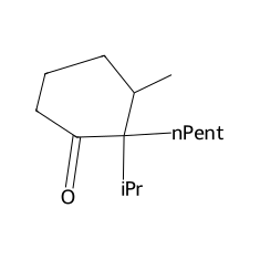 CCCCCC1(C(C)C)C(=O)CCCC1C